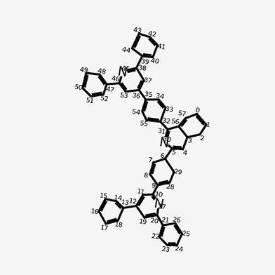 C1=CCC2C=C(C3C=CC(c4cc(-c5ccccc5)cc(-c5ccccc5)n4)=CC3)N=C(c3ccc(-c4cc(-c5ccccc5)nc(-c5ccccc5)c4)cc3)C2=C1